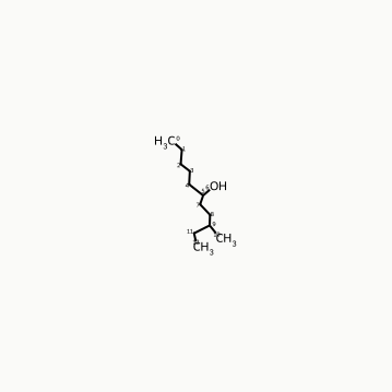 CCCCCC(O)CCC(C)CC